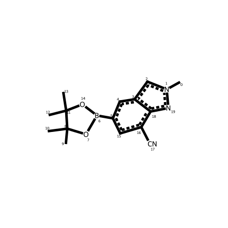 Cn1cc2cc(B3OC(C)(C)C(C)(C)O3)cc(C#N)c2n1